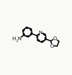 Nc1cccc(-c2ccc(C3OCCO3)cn2)c1